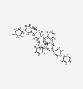 c1ccc(-c2ccc(-c3nc(-c4ccccc4)nc(-c4ccccc4-n4c5ccccc5c5cc6c(cc54)oc4ccc(-c5ccccc5)cc46)n3)cc2)cc1